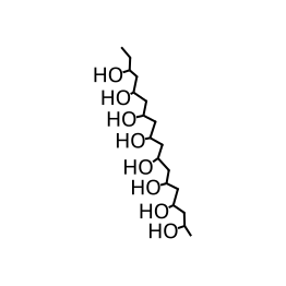 CCC(O)CC(O)CC(O)CC(O)CC(O)CC(O)CC(O)CC(C)O